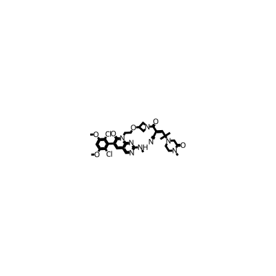 CNc1ncc2cc(-c3c(Cl)c(OC)cc(OC)c3Cl)c(=O)n(CCOC3CN(C(=O)C(C#N)=CC(C)(C)N4CCN(C)C(=O)C4)C3)c2n1